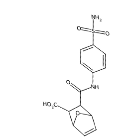 NS(=O)(=O)c1ccc(NC(=O)C2C3C=CC(O3)C2C(=O)O)cc1